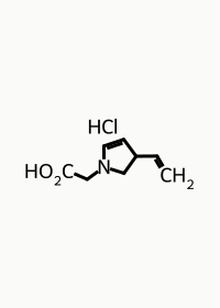 C=CC1C=CN(CC(=O)O)C1.Cl